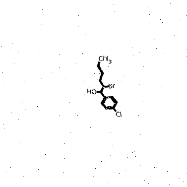 CCCCC(Br)C(O)c1ccc(Cl)cc1